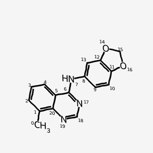 Cc1cccc2c(Nc3ccc4c(c3)OCO4)ncnc12